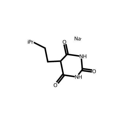 CC(C)CCC1C(=O)NC(=O)NC1=O.[Na]